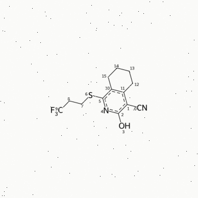 N#Cc1c(O)nc(SCCC(F)(F)F)c2c1CCCC2